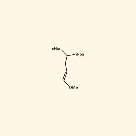 CCCCCCCCCC(C/C=C/OC)CCCCCCCCC